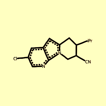 CC(C)C1Cc2cc3cc(Cl)cnc3n2CC1C#N